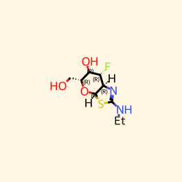 CCNC1=N[C@@H]2[C@@H](F)[C@H](O)[C@@H](CO)O[C@@H]2S1